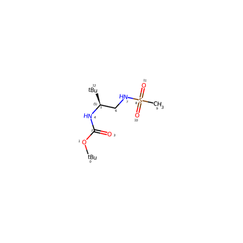 CC(C)(C)OC(=O)N[C@H](CNS(C)(=O)=O)C(C)(C)C